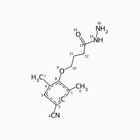 Cc1cc(C#N)cc(C)c1OCCCC(=O)NN